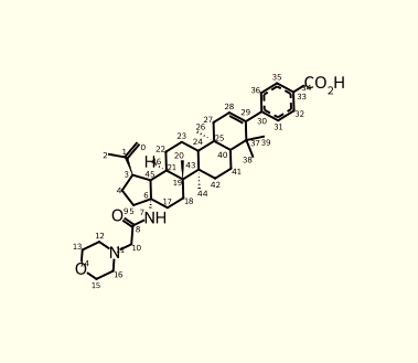 C=C(C)[C@@H]1CC[C@]2(NC(=O)CN3CCOCC3)CC[C@]3(C)[C@H](CCC4[C@@]5(C)CC=C(c6ccc(C(=O)O)cc6)C(C)(C)C5CC[C@]43C)C12